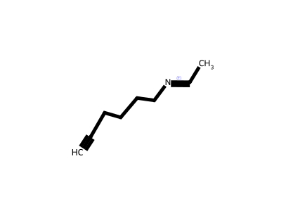 C#CCCCC/N=C/C